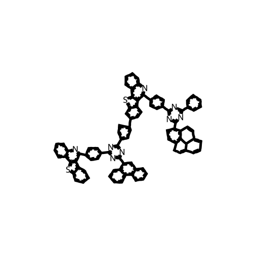 C1=CC2=CCc3ccc(-c4nc(-c5ccccc5)nc(-c5ccc(-c6nc7ccccc7c7sc8cc(-c9ccc(-c%10nc(-c%11ccc(-c%12nc%13ccccc%13c%13sc%14ccccc%14c%12%13)cc%11)nc(-c%11cc%12ccccc%12c%12ccccc%11%12)n%10)cc9)ccc8c67)cc5)n4)c4c3C2C(=C1)C=C4